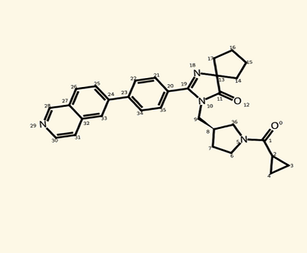 O=C(C1CC1)N1CC[C@@H](CN2C(=O)C3(CCCC3)N=C2c2ccc(-c3ccc4cnccc4c3)cc2)C1